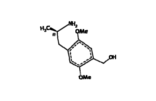 COc1cc(C[C@@H](C)N)c(OC)cc1CO